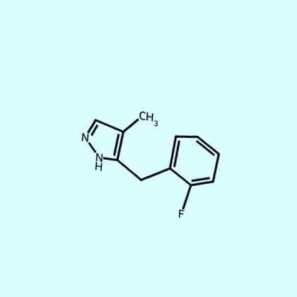 Cc1cn[nH]c1Cc1ccccc1F